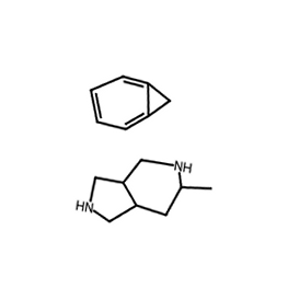 CC1CC2CNCC2CN1.c1ccc2c(c1)C2